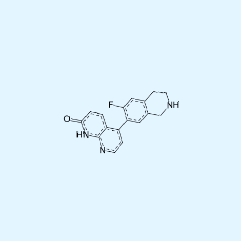 O=c1ccc2c(-c3cc4c(cc3F)CCNC4)ccnc2[nH]1